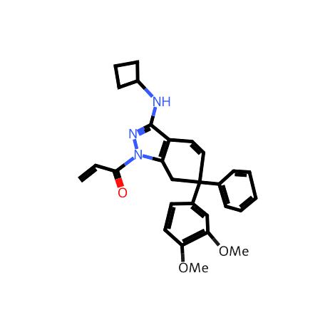 C=CC(=O)n1nc(NC2CCC2)c2c1CC(c1ccccc1)(c1ccc(OC)c(OC)c1)C=C2